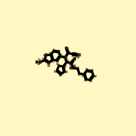 C#CC(=O)N(c1ccc2oc(C)nc2c1)C(C(=O)NCCc1ccccc1)c1cccs1